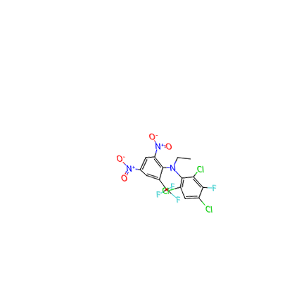 CCN(c1c([N+](=O)[O-])cc([N+](=O)[O-])cc1C(F)(F)F)c1c(Cl)cc(Cl)c(F)c1Cl